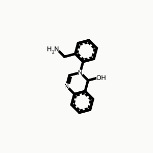 NCc1ccccc1N1C=Nc2ccccc2C1O